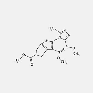 COCc1nnc(C)n1-c1sc2c(c1C(=O)OC)CC(C(=O)OC)C2